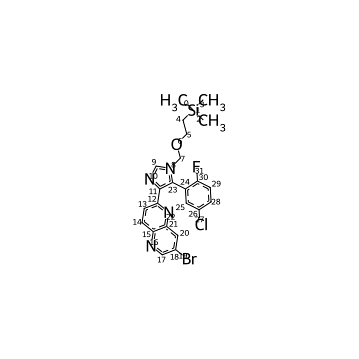 C[Si](C)(C)CCOCn1cnc(-c2ccc3ncc(Br)cc3n2)c1-c1cc(Cl)ccc1F